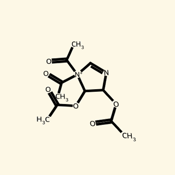 CC(=O)OC1N=C[N+](C(C)=O)(C(C)=O)C1OC(C)=O